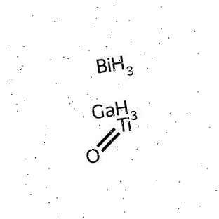 [BiH3].[GaH3].[O]=[Ti]